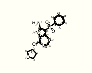 Nc1[nH]c2c(O[C@@H]3CCOC3)ncnc2c1S(=O)(=O)c1ccccc1